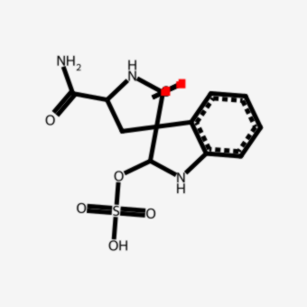 NC(=O)C1CC2(c3ccccc3NC2OS(=O)(=O)O)C2(CCCCC2)N1